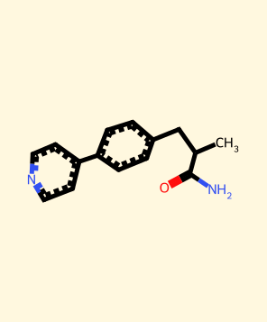 CC(Cc1ccc(-c2ccncc2)cc1)C(N)=O